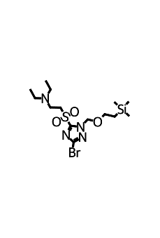 CCN(CC)CCS(=O)(=O)c1nc(Br)nn1COCC[Si](C)(C)C